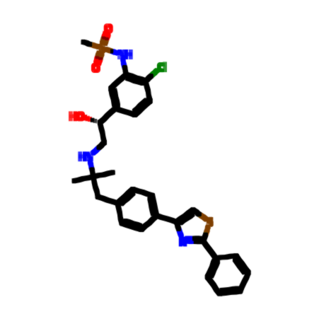 CC(C)(Cc1ccc(-c2csc(-c3ccccc3)n2)cc1)NC[C@H](O)c1ccc(Cl)c(NS(C)(=O)=O)c1